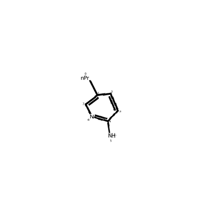 CCCc1ccc([NH])nc1